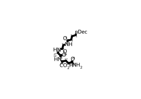 CCCCCCCCCCCCCC(=O)NCC(=O)N[C@@H](C)C(=O)N[C@@H](CCC(N)=O)C(=O)O